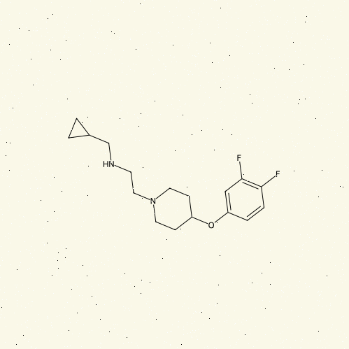 Fc1ccc(OC2CCN(CCNCC3CC3)CC2)cc1F